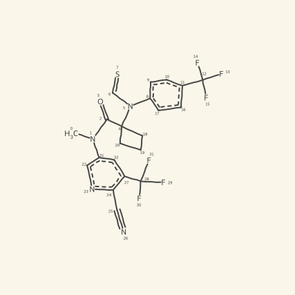 CN(C(=O)C1(N(C=S)c2ccc(C(F)(F)F)cc2)CCC1)c1cnc(C#N)c(C(F)(F)F)c1